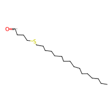 CCCCCCCCCCCCCCCCSCCC[C]=O